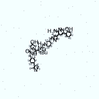 Cc1ncsc1-c1ccc(CNC(=O)[C@@H]2C[C@@H](O)CN2C(=O)[C@@H](NC(=O)CN2CCC[C@H](Cn3cc(-c4cc(-c5ccccc5O)nnc4N)cn3)C2)C(C)(C)C)cc1